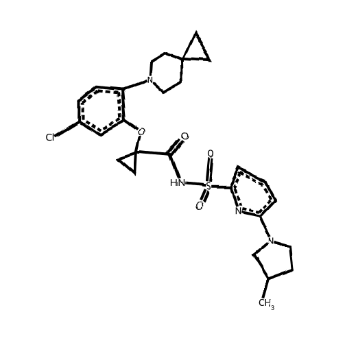 CC1CCN(c2cccc(S(=O)(=O)NC(=O)C3(Oc4cc(Cl)ccc4N4CCC5(CC4)CC5)CC3)n2)C1